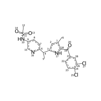 Cc1cc(C(C)c2ccc(NS(C)(=O)=O)cn2)[nH]c1C(=O)c1ccc(Cl)c(Cl)c1